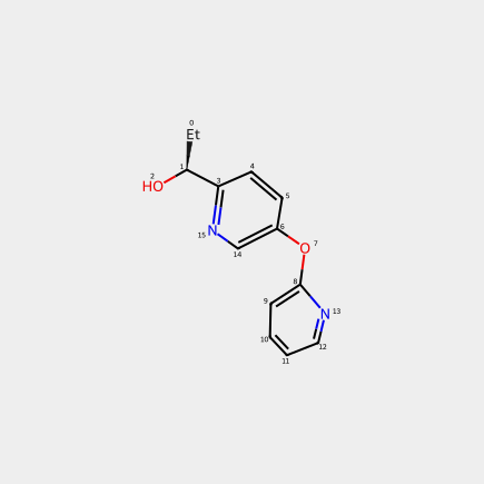 CC[C@H](O)c1ccc(Oc2ccccn2)cn1